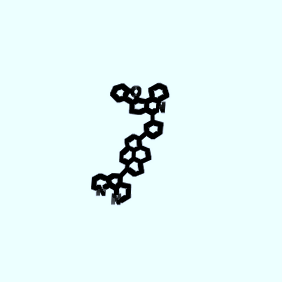 C1=CC2=C(c3cccc(-c4nc5ccccc5c5c4ccc4c6ccccc6oc45)c3)C=CC3=CC=C4C(c5cc6cccnc6c6ncccc56)=CC=C1C4C32